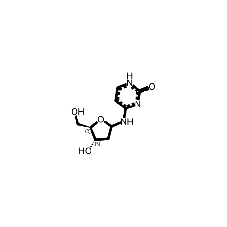 O=c1nc(NC2C[C@H](O)[C@@H](CO)O2)cc[nH]1